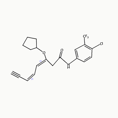 C#C/C=C\C=C(/CC(=O)Nc1ccc(Cl)c(C(F)(F)F)c1)OC1CCCC1